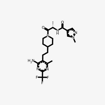 Cc1nc(C(F)(F)F)nc(N)c1CCC1CCN(C(=O)[C@H](C)NC(=O)c2cnn(C)c2)CC1